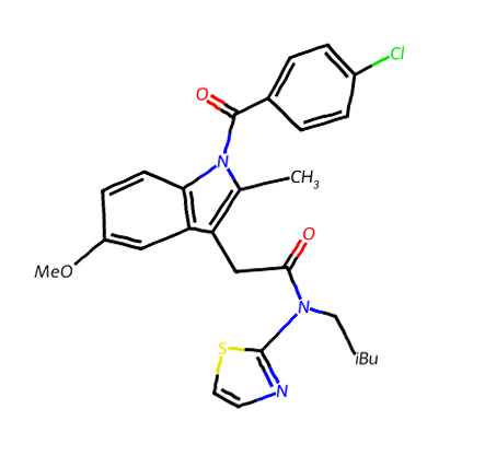 CCC(C)CN(C(=O)Cc1c(C)n(C(=O)c2ccc(Cl)cc2)c2ccc(OC)cc12)c1nccs1